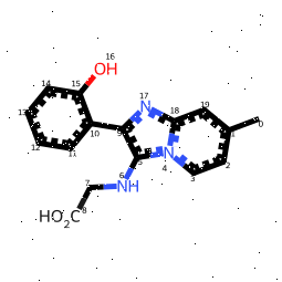 Cc1ccn2c(NCC(=O)O)c(-c3ccccc3O)nc2c1